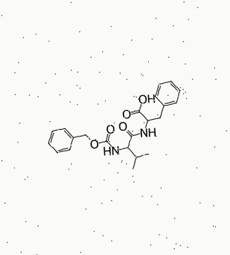 CC(C)C(NC(=O)OCc1ccccc1)C(=O)NC(Cc1ccccc1)C(=O)O